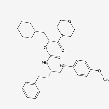 O=C(N[C@@H](CCc1ccccc1)CNc1ccc(OC(F)(F)F)cc1)OC(CC1CCCCC1)C(=O)N1CCOCC1